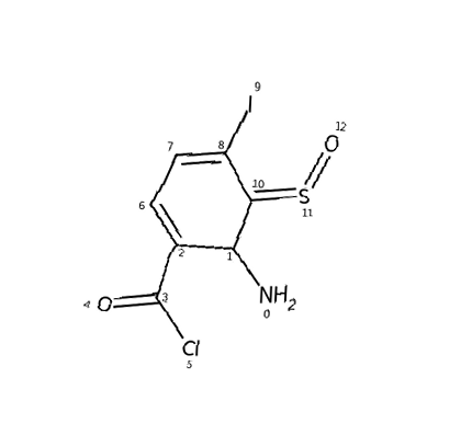 NC1C(C(=O)Cl)=CC=C(I)C1=S=O